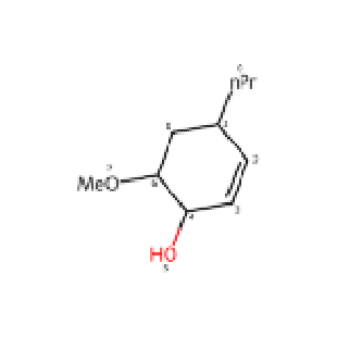 CCCC1C=CC(O)C(OC)C1